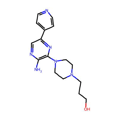 Nc1ncc(-c2ccncc2)nc1N1CCN(CCCO)CC1